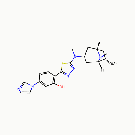 CO[C@@H]1C[C@@]2(C)C[C@H](N(C)c3nnc(-c4ccc(-n5ccnc5)cc4O)s3)C[C@@H]1N2C